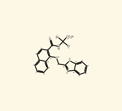 CCC(CC)(NC(=O)c1ccc2ccccc2c1OCc1nc2ccccc2s1)C(=O)O